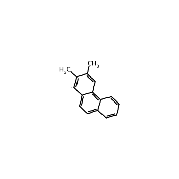 Cc1[c]c2ccc3ccccc3c2cc1C